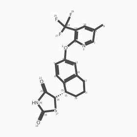 Cc1cnc(Oc2ccc3c(c2)CCC[C@@H]3C2SC(=O)NC2=O)c(C(F)(F)F)c1